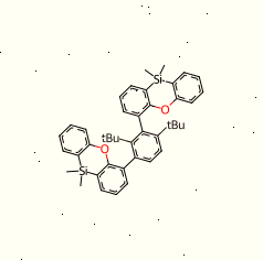 CC(C)(C)c1ccc(-c2cccc3c2Oc2ccccc2[Si]3(C)C)c(C(C)(C)C)c1-c1cccc2c1Oc1ccccc1[Si]2(C)C